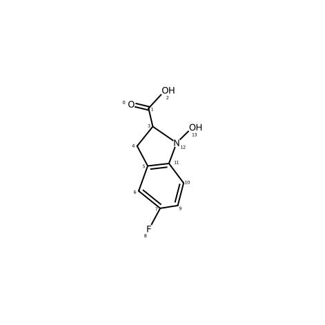 O=C(O)C1Cc2cc(F)ccc2N1O